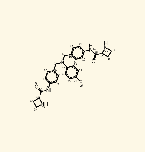 O=C(Nc1ccc(CN(Cc2ccc(NC(=O)[C@@H]3CCN3)cc2)c2ccc(F)cc2)cc1)[C@@H]1CCN1